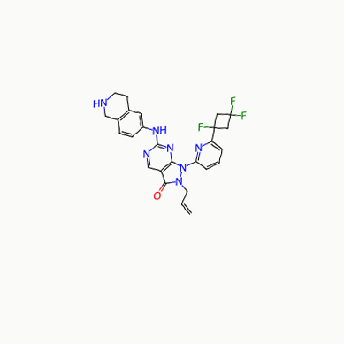 C=CCn1c(=O)c2cnc(Nc3ccc4c(c3)CCNC4)nc2n1-c1cccc(C2(F)CC(F)(F)C2)n1